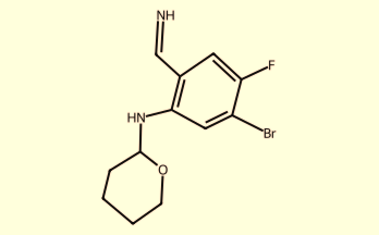 N=Cc1cc(F)c(Br)cc1NC1CCCCO1